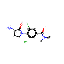 CC(C)N(C)C(=O)c1ccc(N2CC[C@H](N)C2=O)c(F)c1.Cl